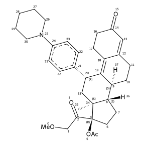 COCC(=O)[C@@]1(OC(C)=O)CC[C@H]2[C@@H]3CCC4=CC(=O)CCC4=C3[C@@H](c3ccc(N4CCCCC4)cc3)C[C@@]21C